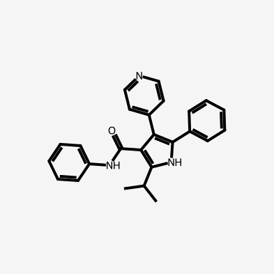 CC(C)c1[nH]c(-c2ccccc2)c(-c2ccncc2)c1C(=O)Nc1ccccc1